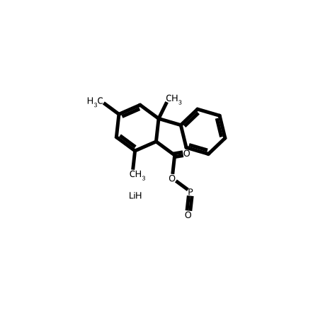 CC1=CC(C)(c2ccccc2)C(C(=O)OP=O)C(C)=C1.[LiH]